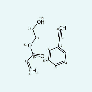 C#Cc1ccccc1.C=CC(=O)OCCO